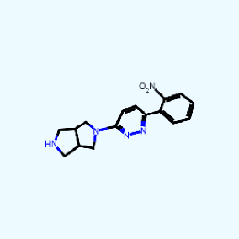 O=[N+]([O-])c1ccccc1-c1ccc(N2CC3CNCC3C2)nn1